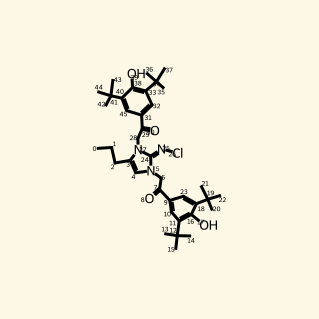 CCCc1cn(CC(=O)c2cc(C(C)(C)C)c(O)c(C(C)(C)C)c2)/c(=N\Cl)n1CC(=O)c1cc(C(C)(C)C)c(O)c(C(C)(C)C)c1